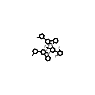 Cc1cccc(-c2ccc3c(c2)c2ccccc2n3-c2cc(-c3c(F)cccc3F)cc(-n3c4ccccc4c4cc(-c5cccc(C)c5)ccc43)c2C(F)(F)F)c1